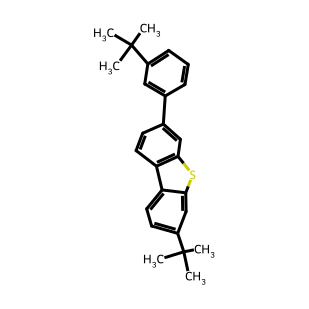 CC(C)(C)c1cccc(-c2ccc3c(c2)sc2cc(C(C)(C)C)ccc23)c1